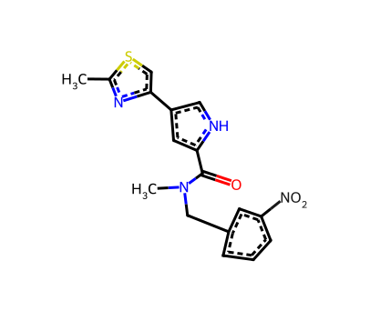 Cc1nc(-c2c[nH]c(C(=O)N(C)Cc3cccc([N+](=O)[O-])c3)c2)cs1